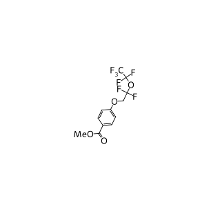 COC(=O)c1ccc(OCC(F)(F)OC(F)(F)C(F)(F)F)cc1